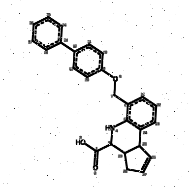 O=C(O)C1Nc2c(COc3ccc(-c4ccccc4)cc3)cccc2C2C=CCC12